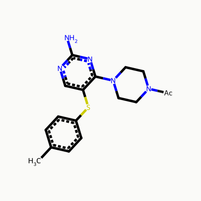 CC(=O)N1CCN(c2nc(N)ncc2Sc2ccc(C)cc2)CC1